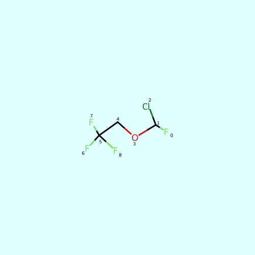 FC(Cl)OCC(F)(F)F